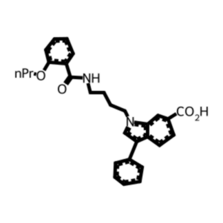 CCCOc1ccccc1C(=O)NCCCCn1cc(-c2ccccc2)c2ccc(C(=O)O)cc21